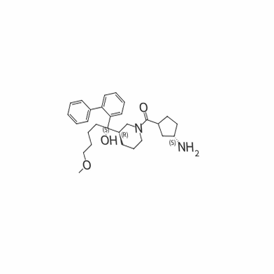 COCCCC[C@@](O)(c1ccccc1-c1ccccc1)[C@@H]1CCCN(C(=O)C2CC[C@H](N)C2)C1